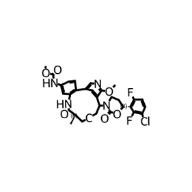 COC(=O)Nc1ccc2c(c1)NC(=O)[C@H](C)CCCC(N1CC[C@H](c3c(F)ccc(Cl)c3F)OC1=O)c1cc-2cnc1OC